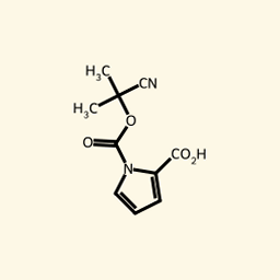 CC(C)(C#N)OC(=O)n1cccc1C(=O)O